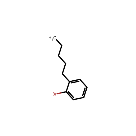 CCCCCc1cc[c]cc1Br